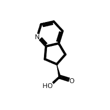 O=C(O)[C@@H]1Cc2cccnc2C1